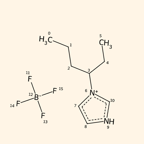 CCCC(CC)[n+]1cc[nH]c1.F[B-](F)(F)F